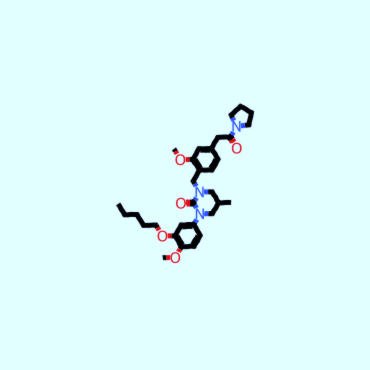 CCCCCOc1cc(N2CC(C)CN(Cc3ccc(CC(=O)N4CCCC4)cc3OC)C2=O)ccc1OC